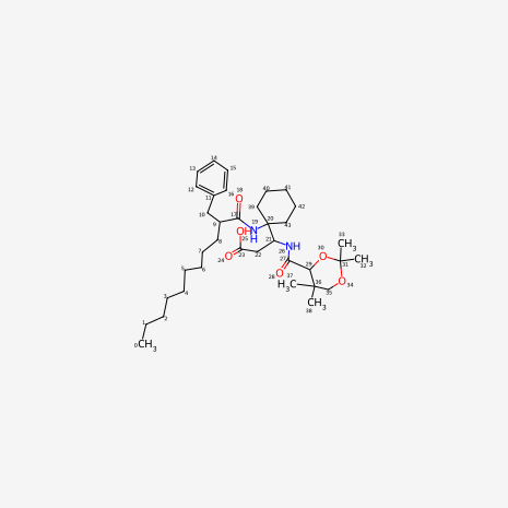 CCCCCCCCCC(Cc1ccccc1)C(=O)NC1(C(CC(=O)O)NC(=O)C2OC(C)(C)OCC2(C)C)CCCCC1